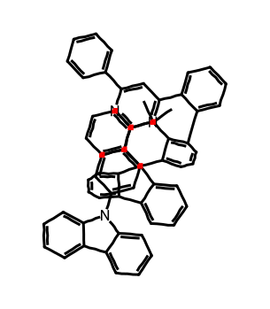 CC1(C)c2ccccc2C2(c3ccccc3-c3ccccc32)c2cccc(-c3ccccc3-c3cc(-c4ccccc4)nc(-c4ccc(-n5c6ccccc6c6ccccc65)cc4)n3)c21